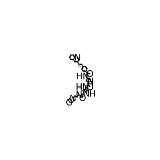 Cn1cc(NC(=O)c2ccc(/C=C/c3cnc4ccccc4c3)cc2)cc1C(=O)Nc1c[nH]c(C(=O)NCCN2CCOCC2)c1